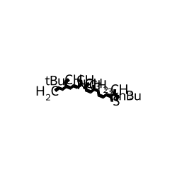 C=CC/C(=C/C=C/N(C)C(=C)/C=C\C(C)C/C=C\C=C1/CSC(CCCC)=C1C)C(=C)C(C)(C)C